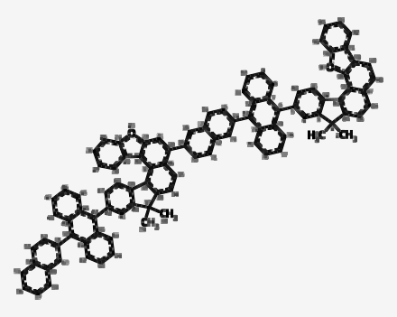 CC1(C)c2cc(-c3c4ccccc4c(-c4ccc5cc(-c6cc7oc8ccccc8c7c7c8c(ccc67)C(C)(C)c6cc(-c7c9ccccc9c(-c9ccc%10ccccc%10c9)c9ccccc79)ccc6-8)ccc5c4)c4ccccc34)ccc2-c2c1ccc1ccc3c4ccccc4oc3c21